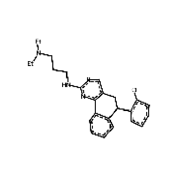 CCN(CC)CCCNc1ncc2c(n1)-c1ccccc1C(c1ccccc1Cl)C2